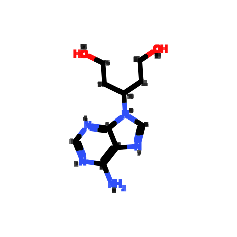 Nc1ncnc2c1ncn2C(CCO)CCO